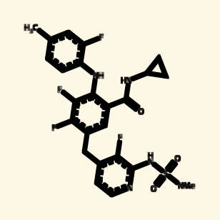 CNS(=O)(=O)Nc1nccc(Cc2cc(C(=O)NC3CC3)c(Nc3ccc(C)cc3F)c(F)c2F)c1F